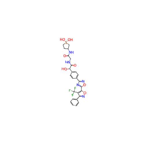 O=C(CNC(=O)C(O)c1ccc(-c2noc(-c3onc(-c4ccccc4)c3C(F)(F)F)n2)cc1)NC1CCS(O)(O)C1